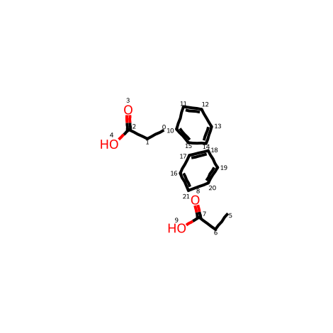 CCC(=O)O.CCC(=O)O.c1ccccc1.c1ccccc1